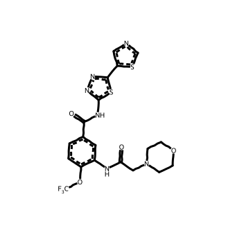 O=C(CN1CCOCC1)Nc1cc(C(=O)Nc2nnc(-c3cncs3)s2)ccc1OC(F)(F)F